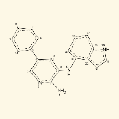 Nc1ncc(-c2ccncc2)nc1Nc1cccc2[nH]ccc12